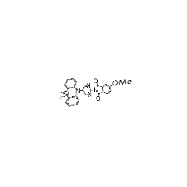 COc1ccc2c(c1)C(=O)N(c1ncc(N3c4ccccc4[Si](C)(C)c4ccccc43)cn1)C2=O